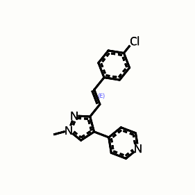 Cn1cc(-c2ccncc2)c(/C=C/c2ccc(Cl)cc2)n1